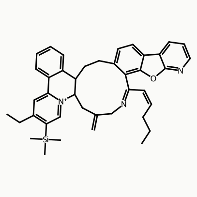 C=C1C/N=C(/C=C\CCC)c2c(ccc3c2oc2ncccc23)CCC2c3ccccc3-c3cc(CC)c([Si](C)(C)C)c[n+]3C2C1